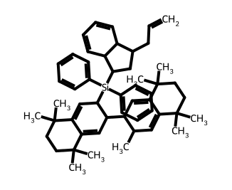 C=CCC1CC([Si](c2ccccc2)(c2ccccc2)C2C=C3C(=CC2C2C=C4C(=CC2C)C(C)(C)CCC4(C)C)C(C)(C)CCC3(C)C)C2C=CC=CC12